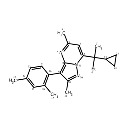 [CH2]CC(C)(c1cc(C)nc2c(-c3ccc(C)cc3C)c(C)nn12)C1CC1